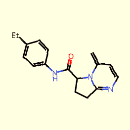 C=C1C=CN=C2CCC(C(=O)Nc3ccc(CC)cc3)N12